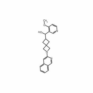 COc1ccncc1C(O)C1CC2(C1)CN(c1cc3ccccc3cn1)C2